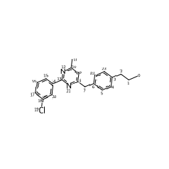 CCCc1ccc(Cc2cc(C)nc(-c3cccc(Cl)c3)n2)cc1